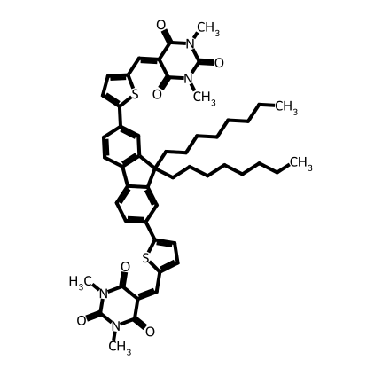 CCCCCCCCC1(CCCCCCCC)c2cc(-c3ccc(C=C4C(=O)N(C)C(=O)N(C)C4=O)s3)ccc2-c2ccc(-c3ccc(C=C4C(=O)N(C)C(=O)N(C)C4=O)s3)cc21